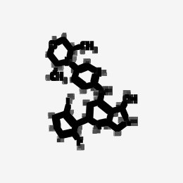 C[C@@H]1COC[C@@H](C)N1c1ccc(Nc2cc(-c3c(F)cccc3F)nc3c2C(O)NC3)nc1